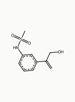 C=C(CO)c1cccc(NS(C)(=O)=O)c1